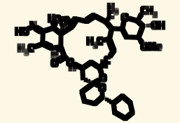 CO[C@H]1CC(C2/C(C)=C/C[C@@H]3C[C@@H](C[C@]4(CCC[C@@H](C5CCCCC5)O4)O3)OC(=O)[C@@H]3C=C(C)/C(=N\O)[C@H]4OC/C(=C\C=C\[C@@H]2C)[C@]43O)O[C@@H](C)[C@@H]1O